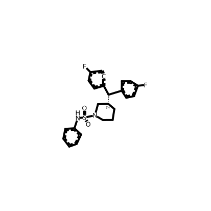 O=S(=O)(Nc1ccccc1)N1CCC[C@@H](C(c2ccc(F)cc2)c2ccc(F)cc2)C1